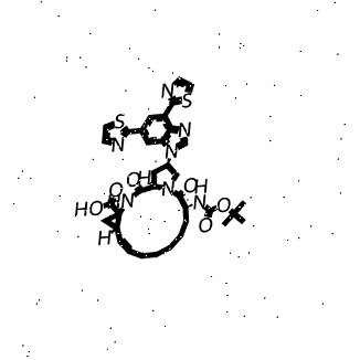 CC(C)(C)OC(=O)N[C@@H]1CCCCC/C=C\[C@@H]2CC2(C(=O)O)NC(=O)[C@@H]2C[C@@H](n3cnc4c(-c5nccs5)cc(-c5nccs5)cc43)CN2C1=O